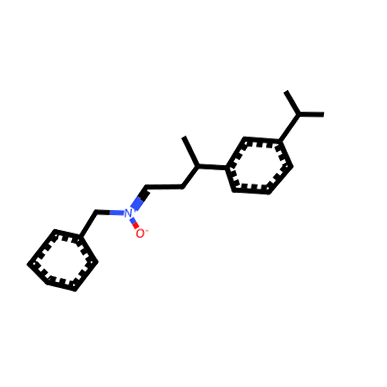 CC(C)c1cccc(C(C)CC=[N+]([O-])Cc2ccccc2)c1